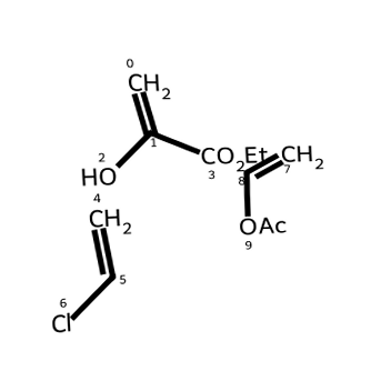 C=C(O)C(=O)OCC.C=CCl.C=COC(C)=O